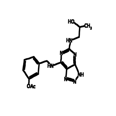 CC(=O)Oc1cccc(CNc2nc(NCC(C)O)nc3[nH]nnc23)c1